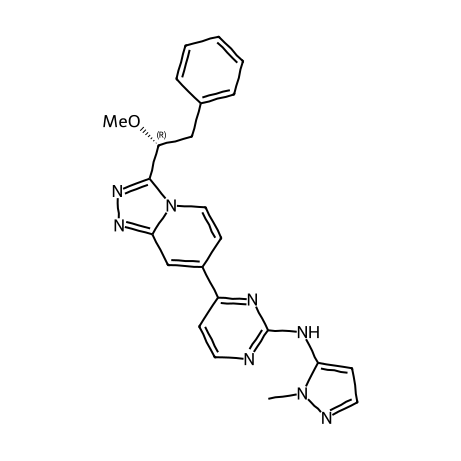 CO[C@H](Cc1ccccc1)c1nnc2cc(-c3ccnc(Nc4ccnn4C)n3)ccn12